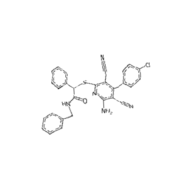 N#Cc1c(N)nc(SC(C(=O)NCc2ccccc2)c2ccccc2)c(C#N)c1-c1ccc(Cl)cc1